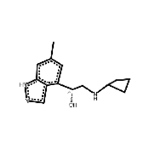 Cc1cc([C@@H](O)CNC2CCC2)c2cn[nH]c2c1